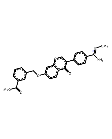 CO/N=C(\N)c1ccc(-c2coc3cc(OCc4cccc(C(=O)OC)c4)ccc3c2=O)cc1